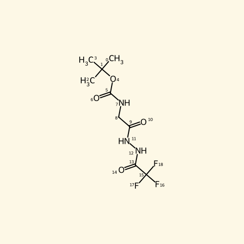 CC(C)(C)OC(=O)NCC(=O)NNC(=O)C(F)(F)F